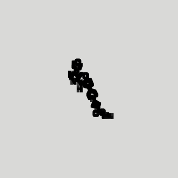 CC(C)(C)OC(=O)N1CC(N2CC=C(c3ccc4c(c3)Nc3ncnc(N5CCOCC5)c3CO4)CC2)C1